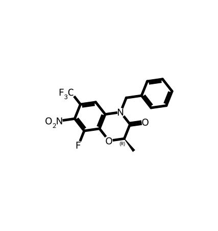 C[C@H]1Oc2c(cc(C(F)(F)F)c([N+](=O)[O-])c2F)N(Cc2ccccc2)C1=O